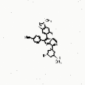 CN[C@@H]1C[C@@H](F)CN(c2nccn3c(-c4cc5nnn(C)c5cc4F)c(-c4ccc(C#N)cc4)nc23)C1